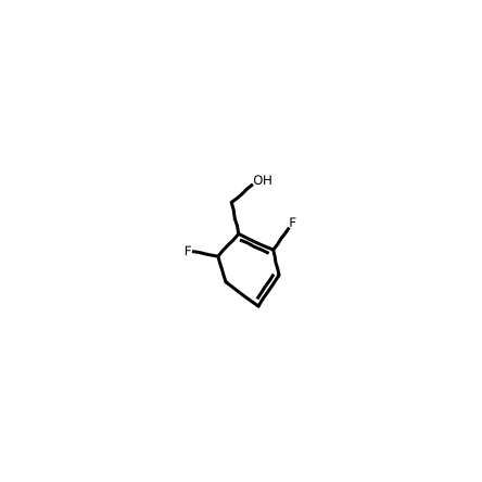 OCC1=C(F)C=CCC1F